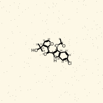 CC(=O)Oc1c(C(=O)c2occc2C(C)(C)O)[nH]c2cc(Cl)ccc12